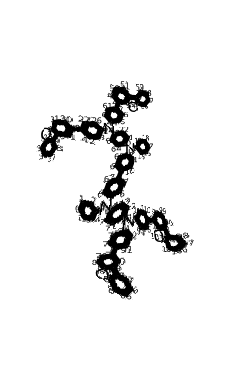 c1ccc(N(c2ccc(-c3ccc(N(c4ccccc4)c4ccc(N(c5ccc(-c6ccc7oc8ccccc8c7c6)cc5)c5ccc(-c6cccc7c6oc6ccccc67)cc5)cc4)cc3)cc2)c2ccc(N(c3ccc(-c4ccc5oc6ccccc6c5c4)cc3)c3ccc(-c4cccc5c4oc4ccccc45)cc3)cc2)cc1